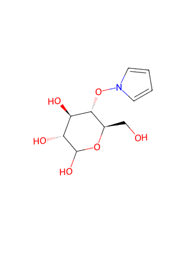 OC[C@H]1OC(O)[C@H](O)[C@@H](O)[C@@H]1On1cccc1